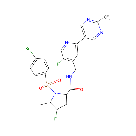 CC1C(F)CC(C(=O)NCc2cc(-c3cnc(C(F)(F)F)nc3)ncc2F)N1S(=O)(=O)c1ccc(Br)cc1